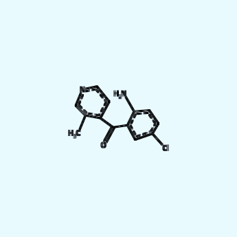 Cc1cnccc1C(=O)c1cc(Cl)ccc1N